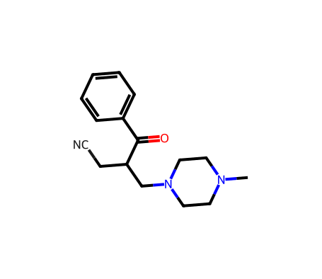 CN1CCN(CC(CC#N)C(=O)c2ccccc2)CC1